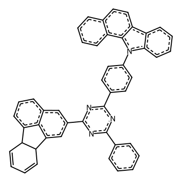 C1=CC2c3cccc4cc(-c5nc(-c6ccccc6)nc(-c6ccc(-n7c8ccccc8c8ccc9ccccc9c87)cc6)n5)cc(c34)C2C=C1